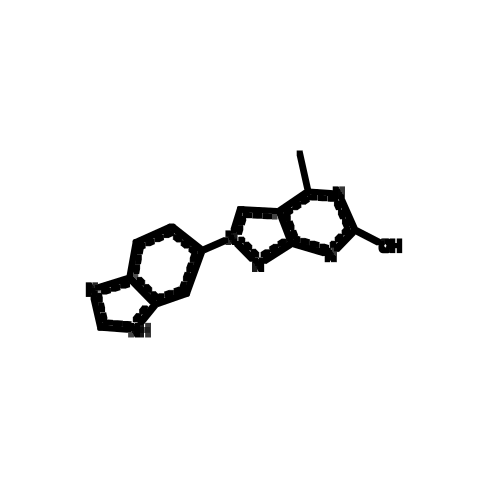 Cc1nc(O)nc2nn(-c3ccc4nc[nH]c4c3)cc12